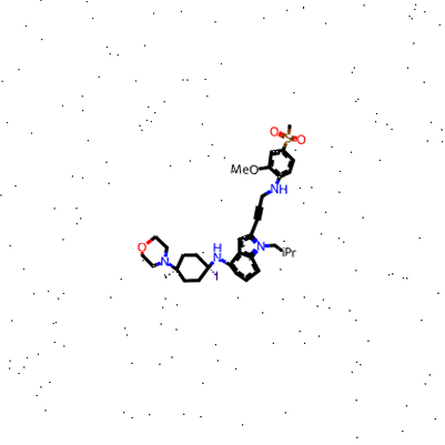 COc1cc(S(C)(=O)=O)ccc1NCC#Cc1cc2c(N[C@]3(I)CC[C@](C)(N4CCOCC4)CC3)cccc2n1CC(C)C